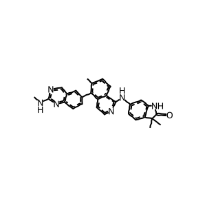 CNc1ncc2cc(-c3c(C)ccc4c(Nc5ccc6c(c5)NC(=O)C6(C)C)nccc34)ccc2n1